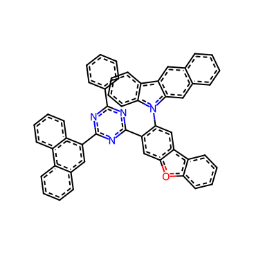 c1ccc(-c2nc(-c3cc4oc5ccccc5c4cc3-n3c4ccccc4c4cc5ccccc5cc43)nc(-c3cc4ccccc4c4ccccc34)n2)cc1